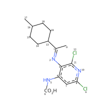 CC(=Nc1c(NC(=O)O)cc(Cl)nc1Cl)C1CCC(C)CC1